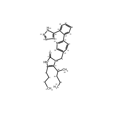 CCCCc1[nH]c(=O)n(Cc2ccc(-c3ccccc3-c3nnn[nH]3)nc2)c1C(C)CCC